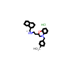 C[C@@H](NCCC1CN(Cc2ccc(C(=O)O)cc2)c2ccccc2O1)c1cccc2ccccc12.Cl